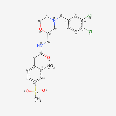 CS(=O)(=O)c1ccc(CC(=O)NCC2CN(Cc3ccc(Cl)c(Cl)c3)CCO2)c([N+](=O)[O-])c1